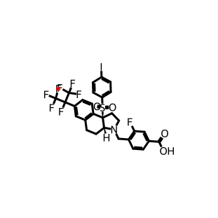 O=C(O)c1ccc(CN2CC[C@@]3(S(=O)(=O)c4ccc(I)cc4)c4ccc(C(F)(C(F)(F)F)C(F)(F)F)cc4CC[C@@H]23)c(F)c1